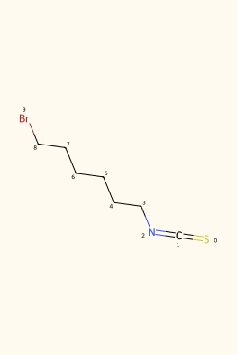 S=C=NCCCCCCBr